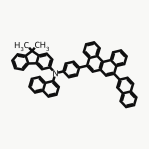 CC1(C)c2ccccc2-c2cc(N(c3ccc(-c4cc5cc(-c6ccc7ccccc7c6)c6ccccc6c5c5ccccc45)cc3)c3cccc4ccccc34)ccc21